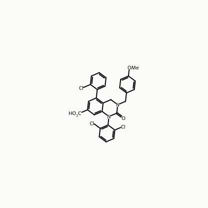 COc1ccc(CN2Cc3c(-c4ccccc4Cl)cc(C(=O)O)cc3N(c3c(Cl)cccc3Cl)C2=O)cc1